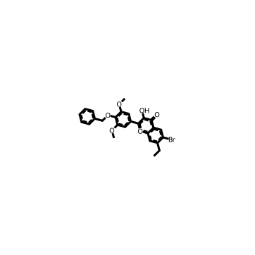 CCc1cc2oc(-c3cc(OC)c(OCc4ccccc4)c(OC)c3)c(O)c(=O)c2cc1Br